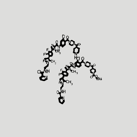 Cc1c(-c2ccc(-c3cnc(C(=O)Nc4ccc(C(=O)N5CCN(C(=O)C6CCN(C(=O)OC(C)(C)C)CC6)CC5)c(Cl)c4)n3C)c(F)c2F)cnn1CCNC(=O)c1ccccn1.Cc1c(-c2ccc(-c3cnc(C(=O)Nc4ccc(C(=O)N5CCN(C(=O)C6CCNCC6)CC5)c(Cl)c4)n3C)c(F)c2F)cnn1CCNC(=O)c1ccccn1